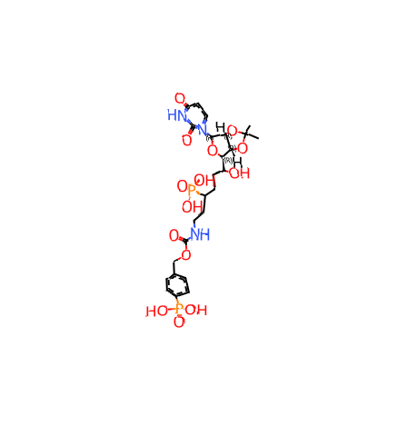 CC1(C)O[C@@H]2[C@H](O1)[C@@H](C(O)CCC(CCNC(=O)OCc1ccc(P(=O)(O)O)cc1)P(=O)(O)O)O[C@H]2n1ccc(=O)[nH]c1=O